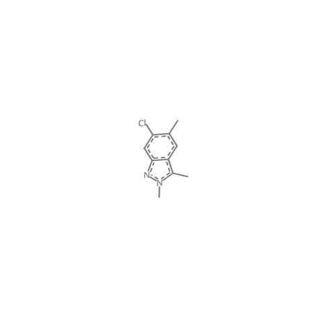 Cc1cc2c(C)n(C)nc2cc1Cl